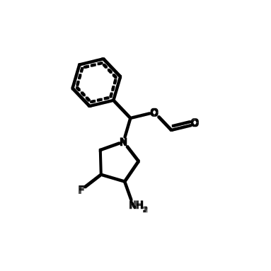 NC1CN(C(OC=O)c2ccccc2)CC1F